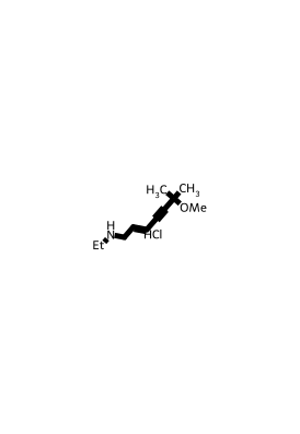 CCNCC=CC#CC(C)(C)OC.Cl